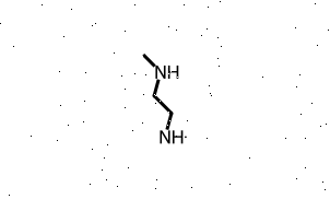 CNCC[NH]